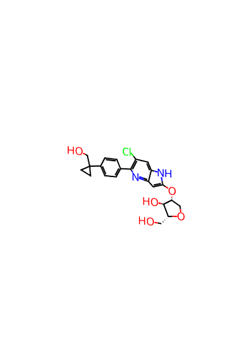 OC[C@H]1OC[C@@H](Oc2cc3nc(-c4ccc(C5(CO)CC5)cc4)c(Cl)cc3[nH]2)[C@@H]1O